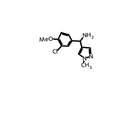 COc1ccc(C(N)c2cnn(C)c2)cc1Cl